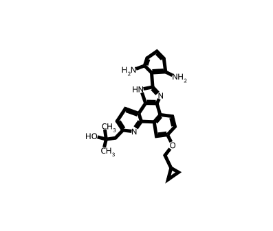 CC(C)(O)Cc1ccc2c(n1)c1cc(OCC3CC3)ccc1c1nc(-c3c(N)cccc3N)[nH]c21